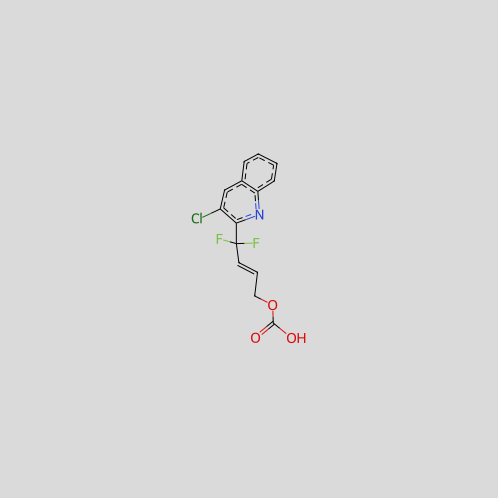 O=C(O)OC/C=C/C(F)(F)c1nc2ccccc2cc1Cl